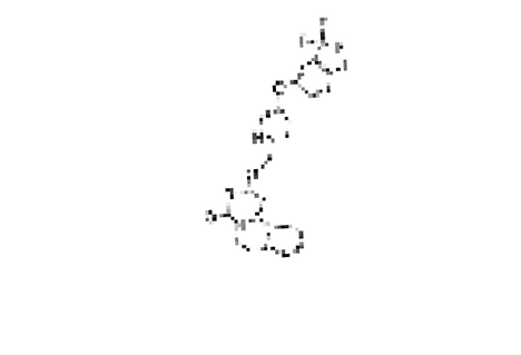 O=c1nc(OCc2ccc(Oc3ccc(F)c(C(F)(F)F)c3)cn2)cc2n1CCc1ccccc1-2